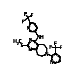 CSc1nc2c(c(Nc3ccc(C(F)(F)F)nc3)n1)CCN(c1ncccc1C(F)(F)F)CC2